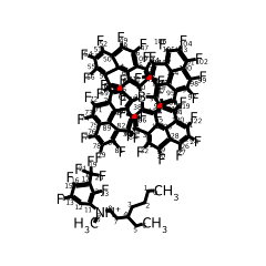 CCCCC(CC)CC[NH+](C)c1cc(F)c(F)c(C(F)(F)F)c1F.Fc1c(F)c2c(F)c(F)c3c(F)c(F)c([B-](c4c(F)c(F)c5c(F)c(F)c6c(F)c(F)c(F)c7c(F)c(F)c4c5c67)(c4c(F)c(F)c5c(F)c(F)c6c(F)c(F)c(F)c7c(F)c(F)c4c5c67)c4c(F)c(F)c5c(F)c(F)c6c(F)c(F)c(F)c7c(F)c(F)c4c5c67)c4c(F)c(F)c(c1F)c2c34